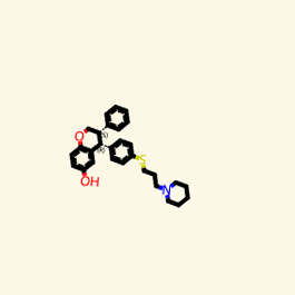 Oc1ccc2c(c1)[C@@H](c1ccc(SCCCN3CCCCC3)cc1)[C@@H](c1ccccc1)CO2